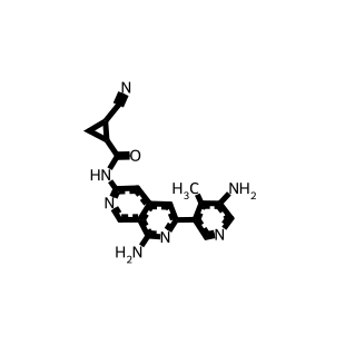 Cc1c(N)cncc1-c1cc2cc(NC(=O)C3CC3C#N)ncc2c(N)n1